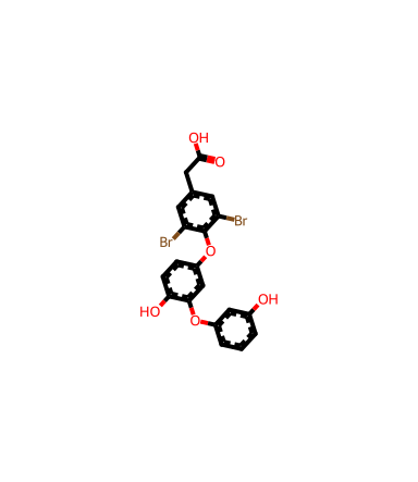 O=C(O)Cc1cc(Br)c(Oc2ccc(O)c(Oc3cccc(O)c3)c2)c(Br)c1